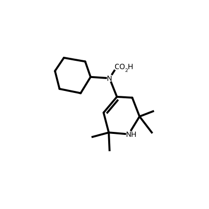 CC1(C)C=C(N(C(=O)O)C2CCCCC2)CC(C)(C)N1